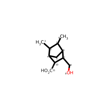 CC1C(C)C2CC1C(CO)C2C(=O)O